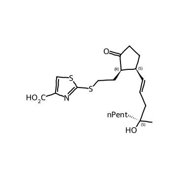 CCCCC[C@](C)(O)CC=C[C@@H]1CCC(=O)[C@@H]1CCSc1nc(C(=O)O)cs1